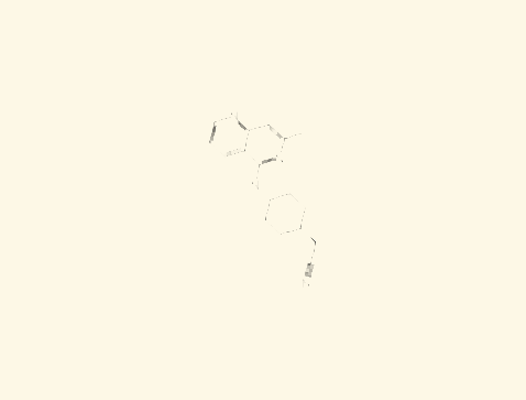 N#CC[C@H]1CC[C@H](Nc2nc(Cl)cc3ncccc23)CC1